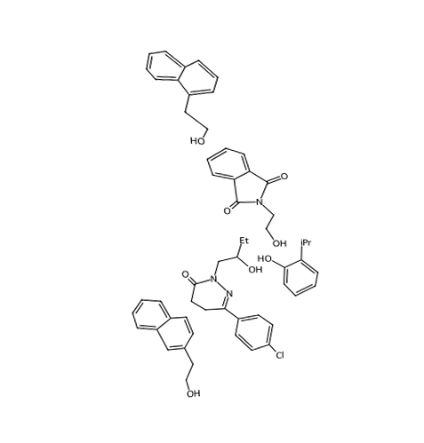 CC(C)c1ccccc1O.CCC(O)CN1N=C(c2ccc(Cl)cc2)CCC1=O.O=C1c2ccccc2C(=O)N1CCO.OCCc1ccc2ccccc2c1.OCCc1cccc2ccccc12